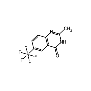 Cc1nc2ccc(S(F)(F)(F)(F)F)cc2c(=O)[nH]1